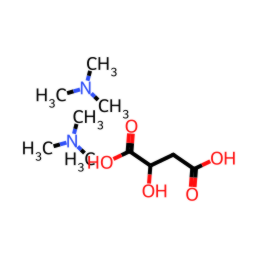 CN(C)C.CN(C)C.O=C(O)CC(O)C(=O)O